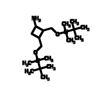 CC(C)(C)[Si](C)(C)OCC1CC(N)C1CO[Si](C)(C)C(C)(C)C